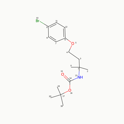 CC(C)(CCOc1ccc(Br)cc1)NC(=O)OC(C)(C)C